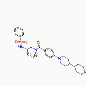 O=C(NC[C@H](NS(=O)(=O)c1ccccc1)C(=O)O)c1ccc(N2CCC(C3CCNCC3)CC2)cc1